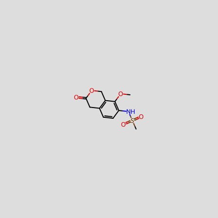 COc1c(NS(C)(=O)=O)ccc2c1COC(=O)C2